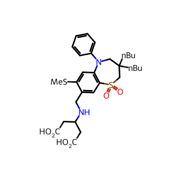 CCCCC1(CCCC)CN(c2ccccc2)c2cc(SC)c(CNC(CC(=O)O)CC(=O)O)cc2S(=O)(=O)C1